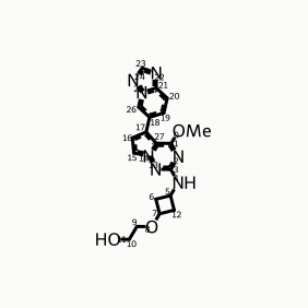 COc1nc(NC2CC(OCCO)C2)nn2ccc(-c3ccc4ncnn4c3)c12